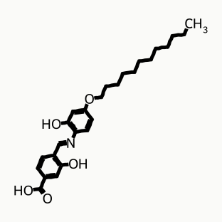 CCCCCCCCCCCCOc1ccc(N=Cc2ccc(C(=O)O)cc2O)c(O)c1